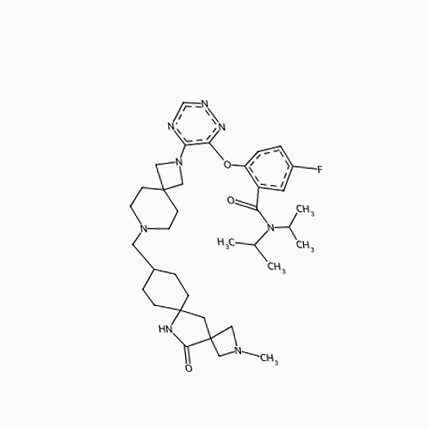 CC(C)N(C(=O)c1cc(F)ccc1Oc1nncnc1N1CC2(CCN(CC3CCC4(CC3)CC3(CN(C)C3)C(=O)N4)CC2)C1)C(C)C